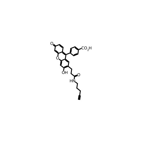 C#CCCCNC(=O)CCc1cc2c(-c3ccc(C(=O)O)cc3)c3ccc(=O)cc-3oc2cc1O